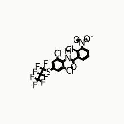 O=C(Nc1c(Cl)cc(SC(F)(F)C(F)(F)C(F)(F)F)cc1Cl)c1cccc([N+](=O)[O-])c1Cl